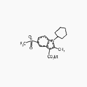 CCOC(=O)c1c(C)n(C2CCCCC2)c2ccc(S(=O)(=O)C(F)(F)F)cc12